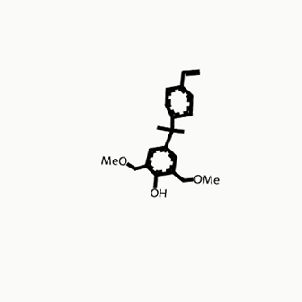 C=Cc1ccc(C(C)(C)c2cc(COC)c(O)c(COC)c2)cc1